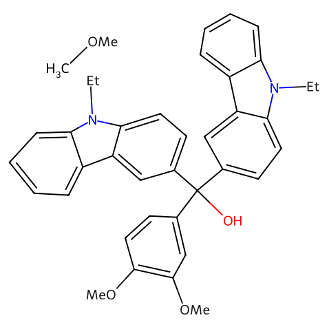 CCn1c2ccccc2c2cc(C(O)(c3ccc(OC)c(OC)c3)c3ccc4c(c3)c3ccccc3n4CC)ccc21.COC